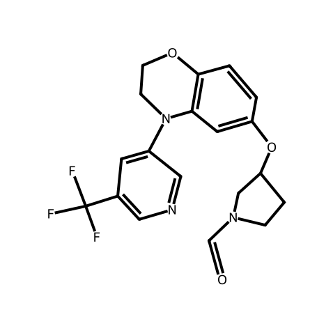 O=CN1CCC(Oc2ccc3c(c2)N(c2cncc(C(F)(F)F)c2)CCO3)C1